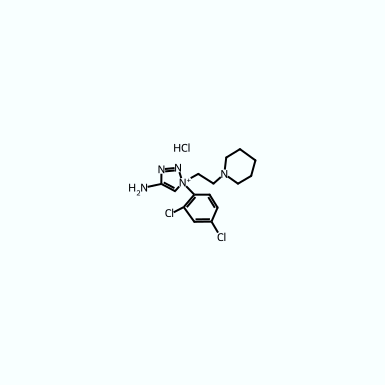 Cl.NC1=C[N+](CCN2CCCCC2)(c2ccc(Cl)cc2Cl)N=N1